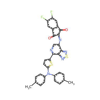 Cc1ccc(N(c2ccc(C)cc2)c2ccc(-c3ncc(N=c4c(=O)c5cc(F)c(F)cc5c4=O)c4nsnc34)s2)cc1